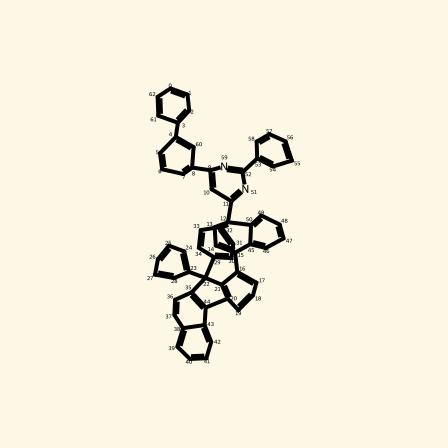 c1ccc(-c2cccc(-c3cc(-c4ccc(-c5cccc6c5C(c5ccccc5)(c5ccccc5)c5ccc7ccccc7c5-6)c5ccccc45)nc(-c4ccccc4)n3)c2)cc1